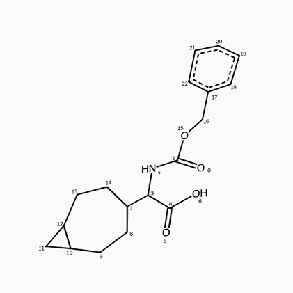 O=C(NC(C(=O)O)C1CCC2CC2CC1)OCc1ccccc1